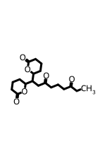 CCC(=O)CCCC(=O)CC(C1CCCC(=O)O1)C1CCCC(=O)O1